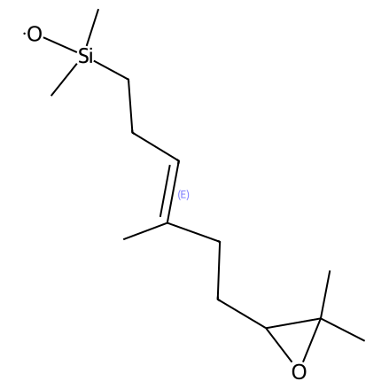 C/C(=C\CC[Si](C)(C)[O])CCC1OC1(C)C